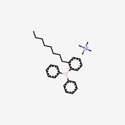 CCCCCCCCc1ccccc1B(c1ccccc1)c1ccccc1.C[N+](C)(C)C